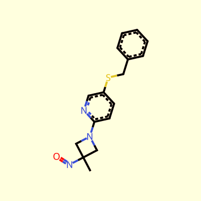 CC1(N=O)CN(c2ccc(SCc3ccccc3)cn2)C1